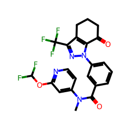 CN(C(=O)c1cccc(-n2nc(C(F)(F)F)c3c2C(=O)CCC3)c1)c1ccnc(OC(F)F)c1